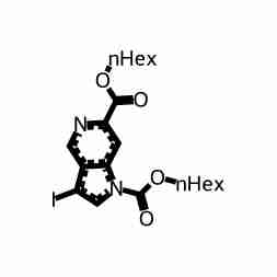 CCCCCCOC(=O)c1cc2c(cn1)c(I)cn2C(=O)OCCCCCC